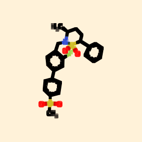 C[C@H]1CCC(c2ccccc2)S(=O)(=O)N1Cc1ccc(-c2ccc(S(C)(=O)=O)cc2)cc1F